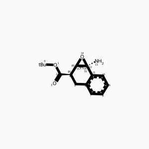 CC(C)(C)OC(=O)[C@@H]1Cc2ccccc2[C@]2(N)O[C@H]12